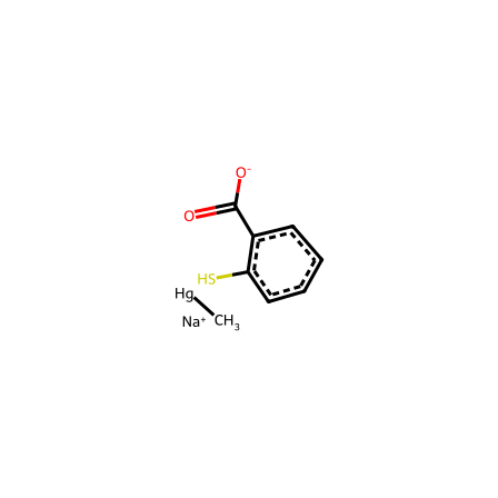 O=C([O-])c1ccccc1S.[CH3][Hg].[Na+]